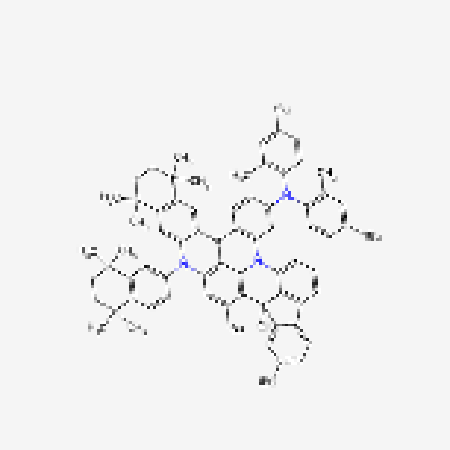 Cc1cc(C(C)(C)C)ccc1N(c1ccc2c(c1)N1c3cccc4c3C(C)(c3cc(C(C)(C)C)ccc3-4)c3c(C(C)(C)C)cc4c(c31)B2c1cc2c(cc1N4c1ccc3c(c1)C(C)(C)CCC3(C)C)C(C)(C)CCC2(C)C)c1ccc(C(C)(C)C)cc1C